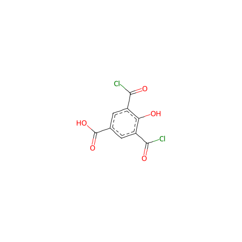 O=C(O)c1cc(C(=O)Cl)c(O)c(C(=O)Cl)c1